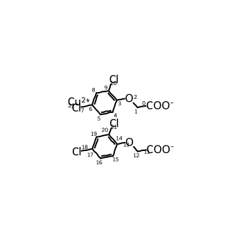 O=C([O-])COc1ccc(Cl)cc1Cl.O=C([O-])COc1ccc(Cl)cc1Cl.[Cu+2]